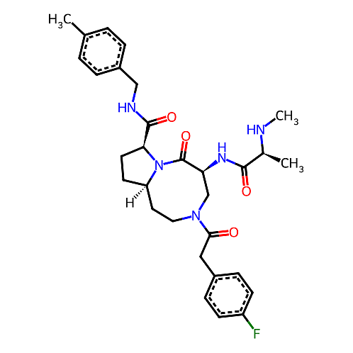 CN[C@@H](C)C(=O)N[C@H]1CN(C(=O)Cc2ccc(F)cc2)CC[C@H]2CC[C@@H](C(=O)NCc3ccc(C)cc3)N2C1=O